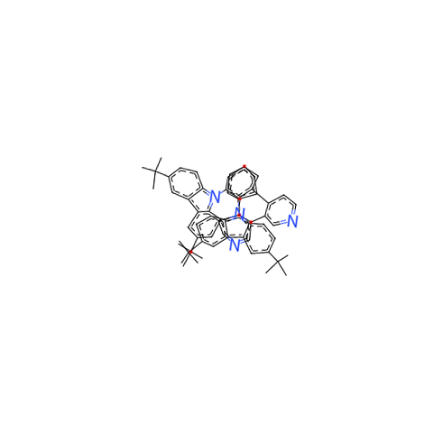 CC(C)(C)c1ccc2c(c1)c1cc(C(C)(C)C)ccc1n2-c1ccccc1-c1ccncc1-c1cnccc1-c1ccccc1-n1c2ccc(C(C)(C)C)cc2c2cc(C(C)(C)C)ccc21